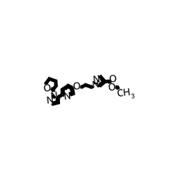 CCOC(=O)c1cnn(CCCOc2ccc(-c3ccnn3C3CCCCO3)nc2)c1